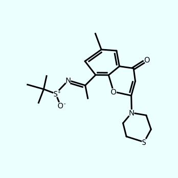 C/C(=N\[S+]([O-])C(C)(C)C)c1cc(C)cc2c(=O)cc(N3CCSCC3)oc12